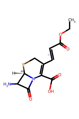 CCOC(=O)/C=C/C1=C(C(=O)O)N2C(=O)C(N)[C@H]2SC1